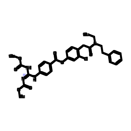 CC(C)(C)CN(CCc1ccccc1)C(=O)Cc1ccc(OC(=O)c2ccc(N/C(=N\C(=O)OC(C)(C)C)NC(=O)OC(C)(C)C)cc2)cc1Cl